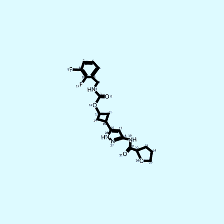 O=C(NCc1cccc(F)c1F)OC1CC(c2cc(NC(=O)C3CCCO3)n[nH]2)C1